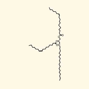 CCCCCC/C=C\CCCCCCCCCC(=O)OC[C@@H](COCCCCCCCCCCCCCCCCCC)OC(=O)CCCCCCC/C=C\CCCCCC